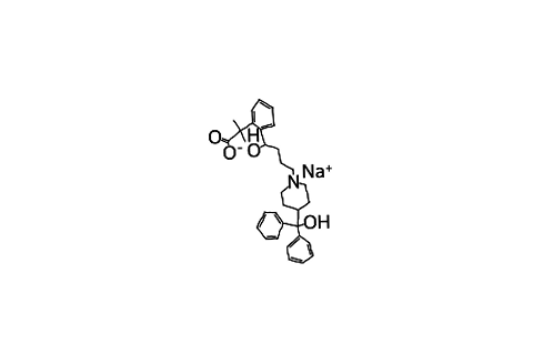 CC(C)(C(=O)[O-])c1ccccc1C(O)CCCN1CCC(C(O)(c2ccccc2)c2ccccc2)CC1.[Na+]